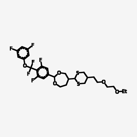 CCOCCOCCC1CSC(C2CCOC(c3cc(F)c(C(F)(F)Oc4cc(F)cc(F)c4)c(F)c3)OC2)SC1